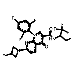 CCC(NC(=O)c1cn(-c2c(F)cc(F)cc2F)c2nc(N3CC(F)C3)ccc2c1=O)C(F)(F)F